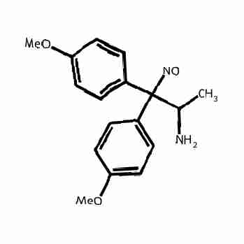 COc1ccc(C(N=O)(c2ccc(OC)cc2)C(C)N)cc1